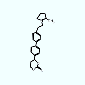 C[C@@H]1CCCN1CCc1ccc(-c2ccc(C3CCOC(=O)O3)cc2)cc1